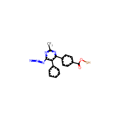 [N-]=[N+]=Nc1nc(C(F)(F)F)nc(-c2ccc(C(=O)OS)cc2)c1-c1ccccc1